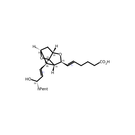 CCCCC[C@H](O)/C=C/[C@@H]1[C@@H]2[C@@H]3O[C@H]1C[C@@H]3O[C@H]2/C=C/CCCC(=O)O